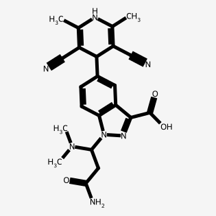 CC1=C(C#N)C(c2ccc3c(c2)c(C(=O)O)nn3C(CC(N)=O)N(C)C)C(C#N)=C(C)N1